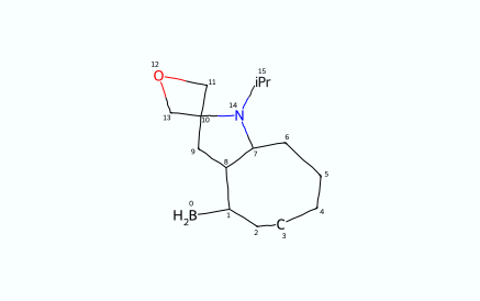 BC1CCCCCC2C1CC1(COC1)N2C(C)C